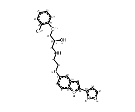 O[C@@H](CNCCOc1ccc2oc(-c3ccon3)cc2c1)COc1ccccc1Cl